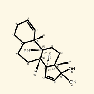 C[C@]12C=CCCC1CC[C@@H]1[C@H]2CC[C@@]2(C)[C@H]1C=CC2(O)O